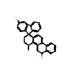 Cc1ccccc1C1(c2ccc(F)cc2)CCC(C)c2c1ccc1c2CC(F)c2ccccc2-1